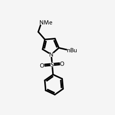 CCCCc1cc(CNC)cn1S(=O)(=O)c1ccccc1